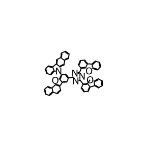 c1ccc2cc3c(cc2c1)c1ccccc1n3-c1cc(-c2nc(-c3cccc4c3oc3ccccc34)nc(-c3cccc4c3oc3ccccc34)n2)cc2c1oc1c3ccccc3ccc21